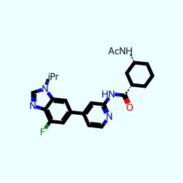 CC(=O)N[C@@H]1CCC[C@H](C(=O)Nc2cc(-c3cc(F)c4ncn(C(C)C)c4c3)ccn2)C1